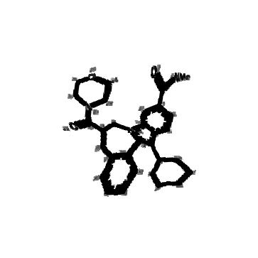 CNC(=O)c1ccc2c(C3CCCCC3)c3n(c2c1)CC(C(=O)N1CCOCC1)=Cc1ccccc1-3